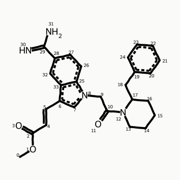 COC(=O)C=Cc1cn(CC(=O)N2CCCCC2Cc2ccccc2)c2ccc(C(=N)N)cc12